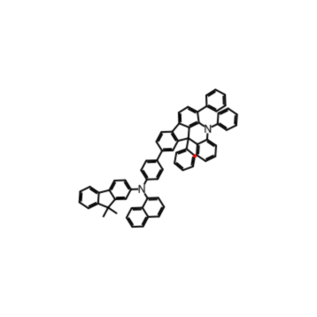 CC1(C)c2ccccc2-c2ccc(N(c3ccc(-c4ccc5c(c4)C4(c6ccccc6)c6ccccc6N(c6ccccc6)c6c(-c7ccccc7)ccc-5c64)cc3)c3cccc4ccccc34)cc21